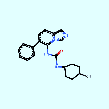 N#CC1CCC(NC(=O)Nc2c(-c3ccccc3)ccc3cncn23)CC1